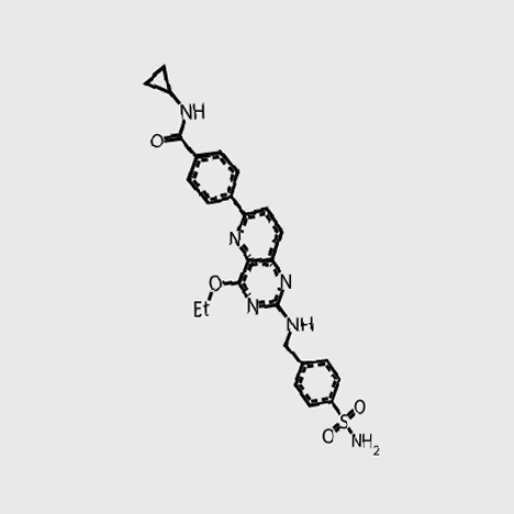 CCOc1nc(NCc2ccc(S(N)(=O)=O)cc2)nc2ccc(-c3ccc(C(=O)NC4CC4)cc3)nc12